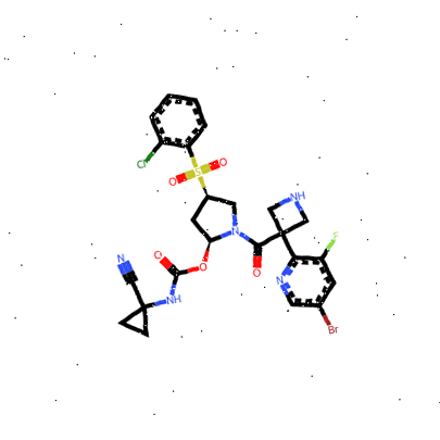 N#CC1(NC(=O)O[C@H]2C[C@@H](S(=O)(=O)c3ccccc3Cl)CN2C(=O)C2(c3ncc(Br)cc3F)CNC2)CC1